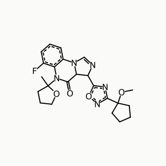 COC1(c2noc(C3N=CN4c5cccc(F)c5N(C5(C)CCCO5)C(=O)C34)n2)CCCC1